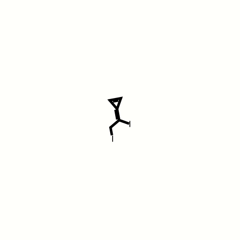 ICC(I)=C1C=C1